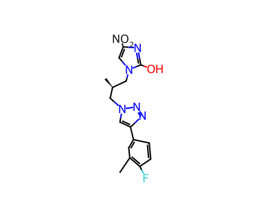 Cc1cc(-c2cn(C[C@@H](C)Cn3cc([N+](=O)[O-])nc3O)nn2)ccc1F